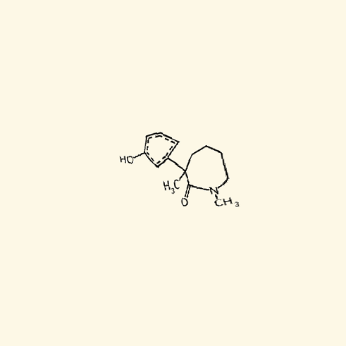 CN1CCCCC(C)(c2cccc(O)c2)C1=O